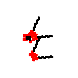 CCCCCCCCOP(=O)([O-])OP(=O)([O-])OCCCCCCCC.CCCCCCCCOP(=O)([O-])OP(=O)([O-])OCCCCCCCC.O=[C]1[CH2][Ti+4]1([OH])[OH]